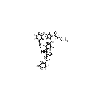 CCOC(=O)c1cn(Cc2cccc(C#N)c2)cc1Cc1ccc(NC(=O)OCc2ccccc2)cc1